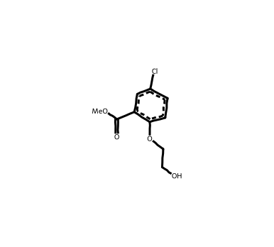 COC(=O)c1cc(Cl)ccc1OCCO